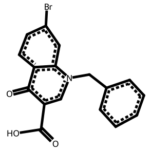 O=C(O)c1cn(Cc2ccccc2)c2cc(Br)ccc2c1=O